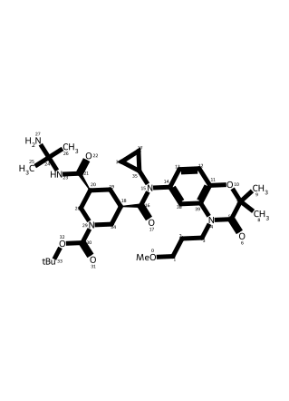 COCCCN1C(=O)C(C)(C)Oc2ccc(N(C(=O)[C@@H]3C[C@H](C(=O)NC(C)(C)N)CN(C(=O)OC(C)(C)C)C3)C3CC3)cc21